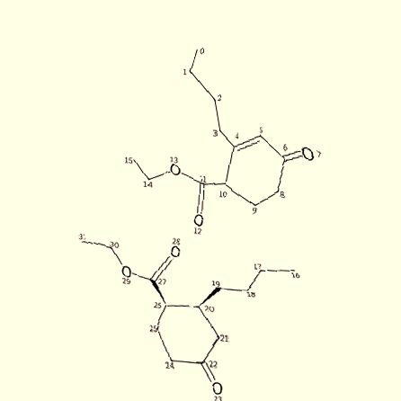 CCCCC1=CC(=O)CCC1C(=O)OCC.CCCC[C@H]1CC(=O)CC[C@H]1C(=O)OCC